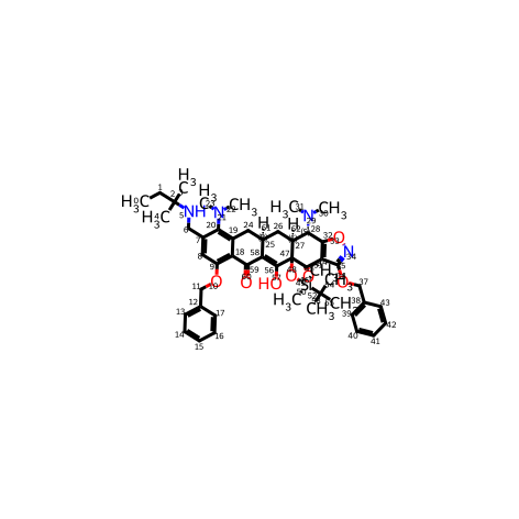 CCC(C)(C)NCc1cc(OCc2ccccc2)c2c(c1N(C)C)C[C@H]1C[C@H]3[C@H](N(C)C)c4onc(OCc5ccccc5)c4C(=O)C3(O[Si](C)(C)C(C)(C)C)C(O)=C1C2=O